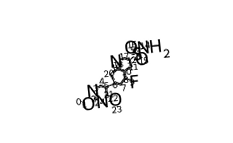 COc1ncc(-c2cc(F)c3cc(S(N)(=O)=O)cnc3c2)c(OC)n1